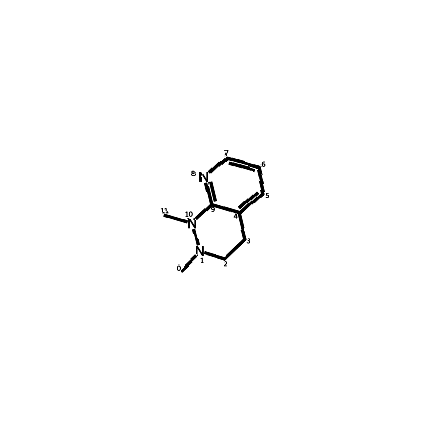 CN1CCc2cccnc2N1C